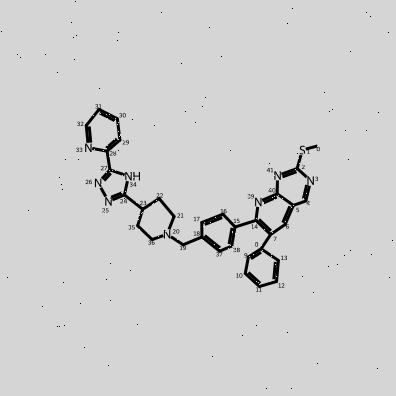 CSc1ncc2cc(-c3ccccc3)c(-c3ccc(CN4CCC(c5nnc(-c6ccccn6)[nH]5)CC4)cc3)nc2n1